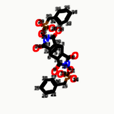 O=C1C2C3C=CC(C2C(=O)N1OS(=O)(=O)Cc1ccccc1)C1C(=O)N(OS(=O)(=O)Cc2ccccc2)C(=O)C31